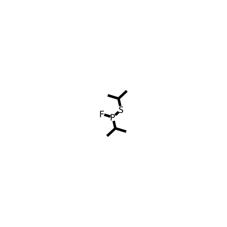 CC(C)SP(F)C(C)C